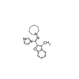 Cc1c(C(=NN2CCCCCC2)n2ccnc2)oc2ccccc12